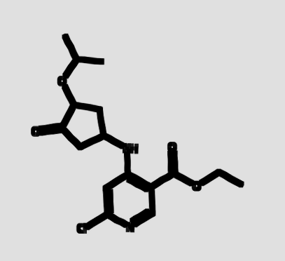 CCOC(=O)c1cnc(Cl)cc1NC1CC(=O)C(OC(C)C)C1